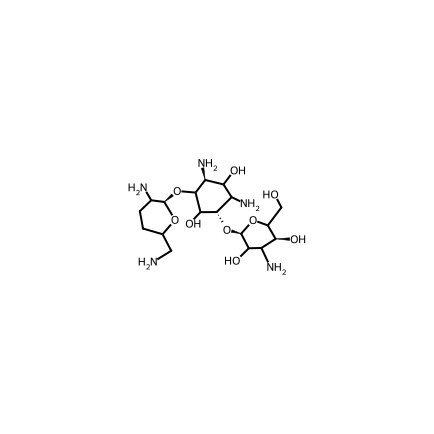 NCC1CCC(N)[C@@H](OC2C(O)[C@@H](O[C@H]3OC(CO)[C@@H](O)C(N)C3O)C(N)C(O)[C@@H]2N)O1